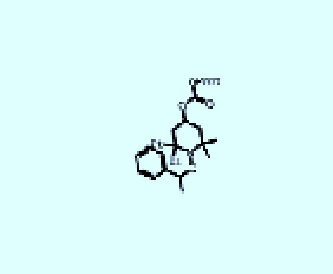 CCCCCC(=O)OC1CC(C)(C)N(OC(C)c2ccccc2)C(CC)(CC)C1